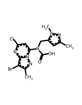 Cc1cc(CN(C(=O)O)c2cc(Cl)nc3c(Br)c(C)nn23)n(C)n1